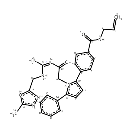 C=CCNC(=O)c1ccc(-c2ccc(-c3ccccc3)n2CC(=O)/N=C(/N)NCc2nnc(C)o2)cc1